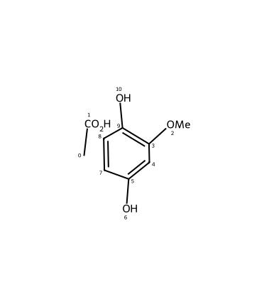 CC(=O)O.COc1cc(O)ccc1O